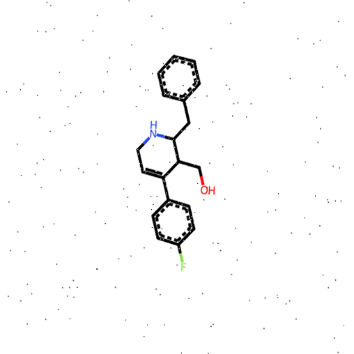 OCC1C(c2ccc(F)cc2)=CCNC1Cc1ccccc1